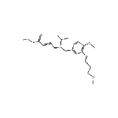 CCOC(=O)/C=C/C[C@H](Cc1ccc(OC)c(OCCCOC)c1)C(C)C